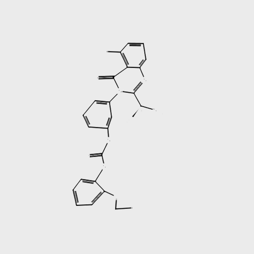 C[C@H](N)c1nc2cccc(Cl)c2c(=O)n1-c1cccc(NC(=O)Nc2ccccc2OCC(=O)O)c1